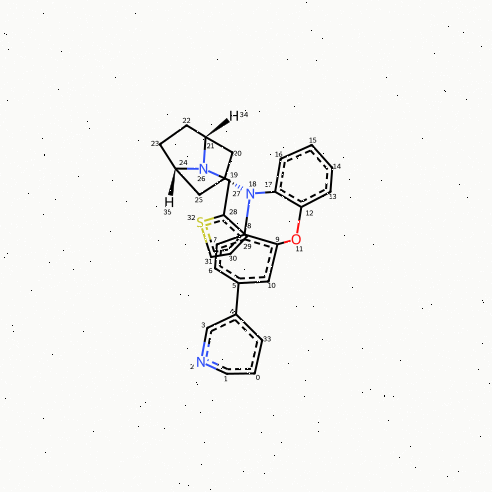 c1cncc(-c2ccc3c(c2)Oc2ccccc2N3[C@H]2C[C@H]3CC[C@@H](C2)N3Cc2cccs2)c1